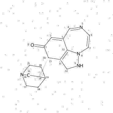 O=C1C=C2C=NC=CN3NCC(=C23)[C@@H]1C1CN2CCC1CC2